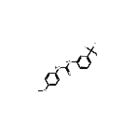 COc1ccc(NC(=O)Nc2cccc(C(F)(F)F)c2)cc1